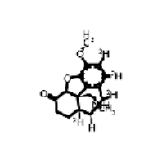 [2H]c1c([2H])c2c3c(c1OC)OC1C(=O)CC[C@@]4([2H])[C@H](N(C)CC[C@]314)C2([2H])[2H]